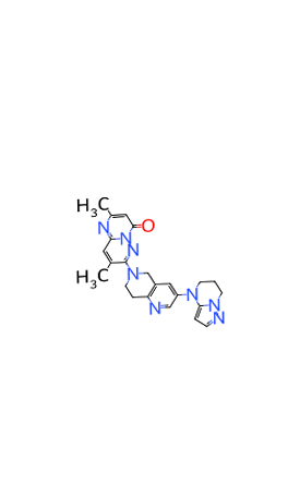 Cc1cc(=O)n2nc(N3CCc4ncc(N5CCCn6nccc65)cc4C3)c(C)cc2n1